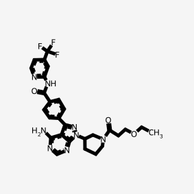 CCOCCC(=O)N1CCCC(n2nc(-c3ccc(C(=O)Nc4cc(C(F)(F)F)ccn4)cc3)c3c(N)ncnc32)C1